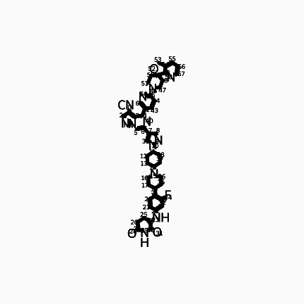 N#Cc1cnn2cc(-c3cnn([C@H]4CC[C@H](N5CCC(c6ccc(N[C@H]7CCC(=O)NC7=O)cc6F)CC5)CC4)c3)nc(-c3ccc(N4CCC5(CC4)OCc4cccnc45)nc3)c12